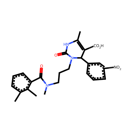 CC1=C(C(=O)O)C(c2cccc([N+](=O)[O-])c2)N(CCCN(C)C(=O)c2cccc(C)c2C)C(=O)N1